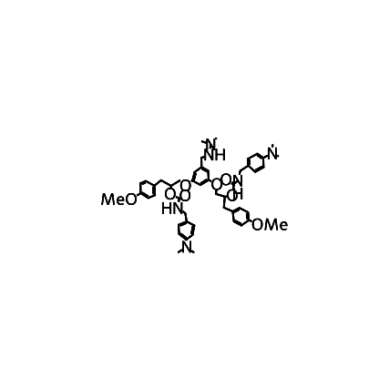 COc1ccc(CC(COc2cc(CNN(C)C)cc(OCC(Cc3ccc(OC)cc3)OC(=O)NCc3ccc(N(C)C)cc3)c2)OC(=O)NCc2ccc(N(C)C)cc2)cc1